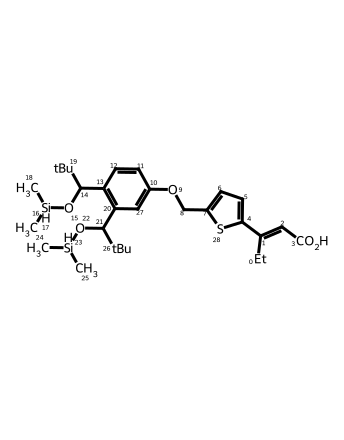 CCC(=CC(=O)O)c1ccc(COc2ccc(C(O[SiH](C)C)C(C)(C)C)c(C(O[SiH](C)C)C(C)(C)C)c2)s1